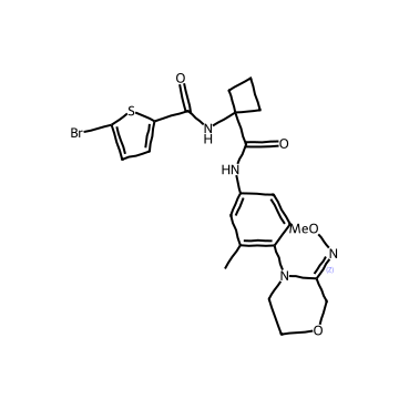 CO/N=C1/COCCN1c1ccc(NC(=O)C2(NC(=O)c3ccc(Br)s3)CCC2)cc1C